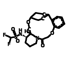 O=C1COc2ccccc2C2CCC(CC2)OC[C@H]2[C@@H](NS(=O)(=O)C(F)F)CCCN12